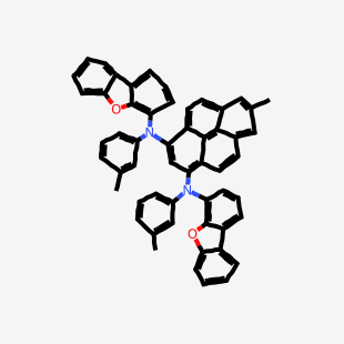 Cc1cccc(N(c2cc(N(c3cccc(C)c3)c3cccc4c3oc3ccccc34)c3ccc4cc(C)cc5ccc2c3c54)c2cccc3c2oc2ccccc23)c1